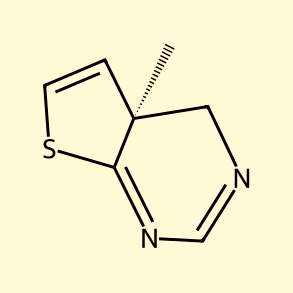 C[C@@]12C=CSC1=NC=NC2